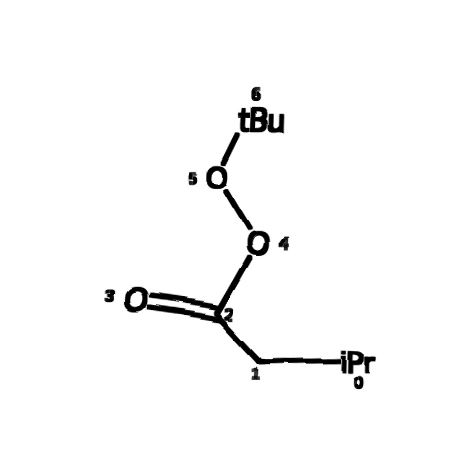 CC(C)CC(=O)OOC(C)(C)C